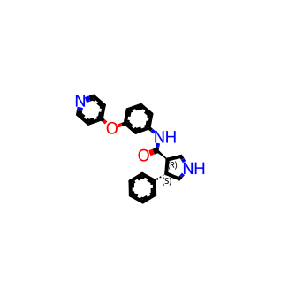 O=C(Nc1cccc(Oc2ccncc2)c1)[C@H]1CNC[C@@H]1c1ccccc1